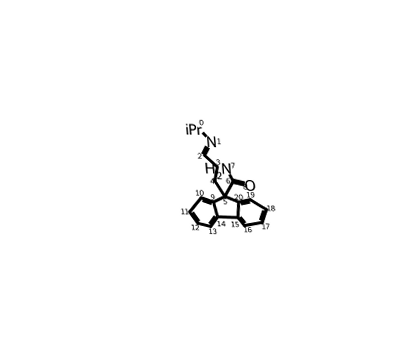 CC(C)/N=C/CCC1(C(N)=O)c2ccccc2-c2ccccc21